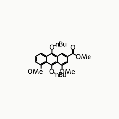 CCCCOc1c2cccc(OC)c2c(OCCCC)c2c(OC)cc(C(=O)OC)cc12